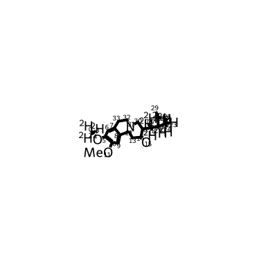 [2H]C([2H])([2H])Oc1cc2c(cc1OC)C1CC(=O)C(C([2H])([2H])C([2H])(C([2H])([2H])[2H])C([2H])([2H])C)CN1CC2